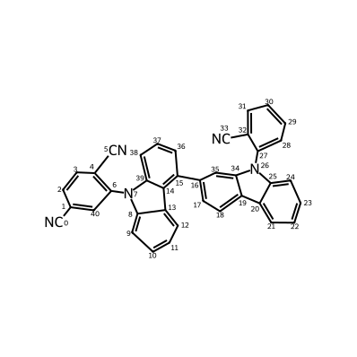 N#Cc1ccc(C#N)c(-n2c3ccccc3c3c(-c4ccc5c6ccccc6n(-c6ccccc6C#N)c5c4)cccc32)c1